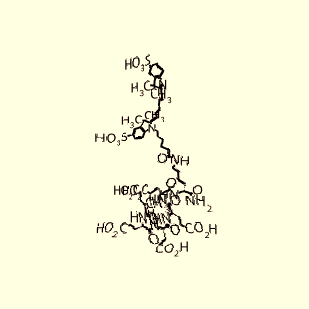 C[C@H](CCC(=O)O)C(=O)N[C@H](CCC(=O)O)C(=O)N[C@H](CCC(=O)O)C(=O)N[C@H](CCC(=O)O)C(=O)N[C@H](CCC(=O)O)C(=O)N[C@H](CCCCNC(=O)CCCCCN1/C(=C/C=C/C=C/C2=Nc3ccc(S(=O)(=O)O)cc3C2(C)C)C(C)(C)c2cc(S(=O)(=O)O)ccc21)C(N)=O